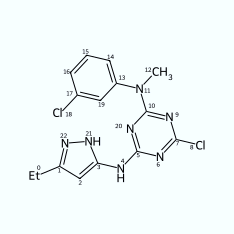 CCc1cc(Nc2nc(Cl)nc(N(C)c3cccc(Cl)c3)n2)[nH]n1